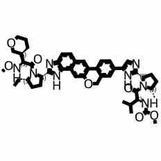 CC[C@H]1CC[C@@H](c2nc3ccc4cc5c(cc4c3[nH]2)OCc2cc(-c3cnc([C@@H]4CC[C@H](C)N4C(=O)[C@@H](NC(=O)OC)C(C)C)[nH]3)ccc2-5)N1C(=O)[C@@H](NOC)[C@@H]1CCCOC1